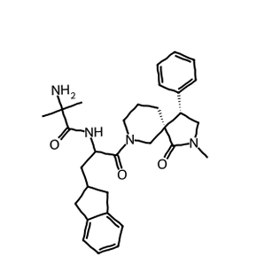 CN1C[C@@H](c2ccccc2)[C@@]2(CCCN(C(=O)C(CC3Cc4ccccc4C3)NC(=O)C(C)(C)N)C2)C1=O